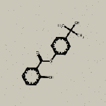 CC(C)(O)c1ccc(OC(=O)c2ccccc2O)cc1